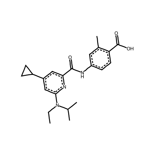 CCN(c1cc(C2CC2)cc(C(=O)Nc2ccc(C(=O)O)c(C)c2)n1)C(C)C